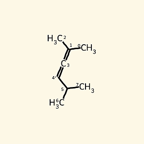 CC(C)=C=[C]C(C)C